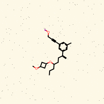 C=C(CCC(CCC)OC1CC(OC)C1)c1cc(C)cc(C#CCOI)c1